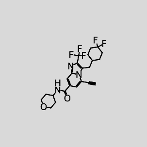 C#Cc1cc(C(=O)NC2CCOCC2)cc2nc(C(F)(F)F)c(CC3CCC(F)(F)CC3)n12